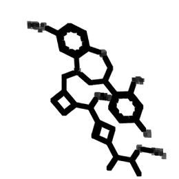 CCCc1cc(Cl)ccc1C1COc2ccc(C(=O)O)cc2N(CC2CCC2C(OC)C2=CC(C(C)C(C)SN)C2)C1